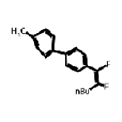 CCCC/C(F)=C(/F)c1ccc(-c2ccc(C)cc2)cc1